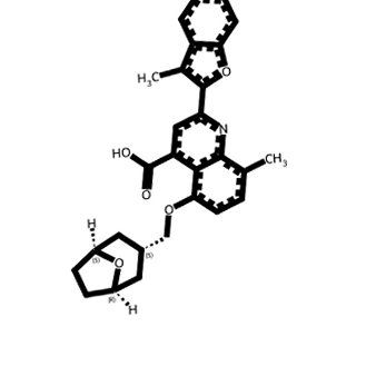 Cc1c(-c2cc(C(=O)O)c3c(OC[C@@H]4C[C@H]5CC[C@@H](C4)O5)ccc(C)c3n2)oc2ccccc12